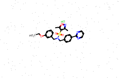 Cc1noc(C)c1S(=O)(=O)N(Cc1ccc(-c2ncccn2)cc1)Cc1cccc(OCC(=O)O)c1.Cl